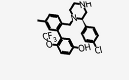 Cc1ccc(CN2CCNC[C@H]2c2ccc(Cl)cc2)c(-c2cc(O)ccc2OC(F)(F)F)c1